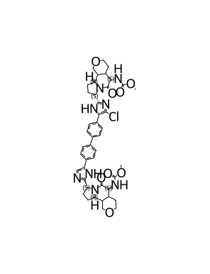 COC(=O)N[C@@H]1C(=O)N2[C@H](CC[C@H]2c2ncc(-c3ccc(-c4ccc(-c5[nH]c([C@@H]6CC[C@@H]7C8COCCC8[C@H](NC(=O)OC)C(=O)N76)nc5Cl)cc4)cc3)[nH]2)C2COCCC21